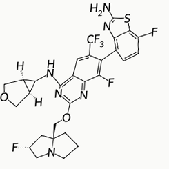 Nc1nc2c(-c3c(C(F)(F)F)cc4c(NC5[C@H]6COC[C@@H]56)nc(OC[C@@]56CCCN5C[C@H](F)C6)nc4c3F)ccc(F)c2s1